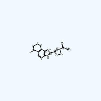 CN1CCCc2c1ccc1nc(C3=NC(C(N)=O)CS3)sc21